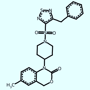 Cc1ccc2c(c1)COC(=O)N2C1CCN(S(=O)(=O)c2nsnc2Cc2ccccc2)CC1